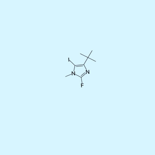 Cn1c(F)nc(C(C)(C)C)c1I